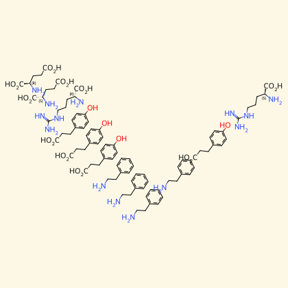 N=C(N)NCCC[C@@H](N)C(=O)O.N=C(N)NCCC[C@H](N)C(=O)O.NCCc1ccccc1.NCCc1ccccc1.NCCc1ccccc1.NCCc1ccccc1.N[C@@H](CCC(=O)O)C(=O)O.N[C@H](CCC(=O)O)C(=O)O.O=C(O)CCc1ccc(O)cc1.O=C(O)CCc1ccc(O)cc1.O=C(O)CCc1ccc(O)cc1.O=C(O)CCc1ccc(O)cc1